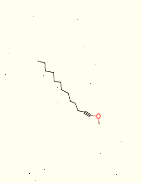 CCCCCCCCCCCC#COC